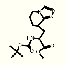 COC(=O)C(CC1CCCn2cnnc21)NC(=O)OC(C)(C)C